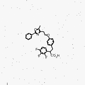 Cc1oc(-c2ccccc2)nc1CCOc1ccc(CC(C(=O)O)c2ccc(F)c(F)c2F)cc1